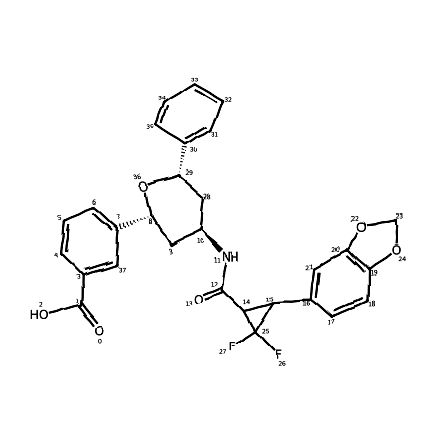 O=C(O)c1cccc([C@H]2C[C@H](NC(=O)C3C(c4ccc5c(c4)OCO5)C3(F)F)C[C@@H](c3ccccc3)O2)c1